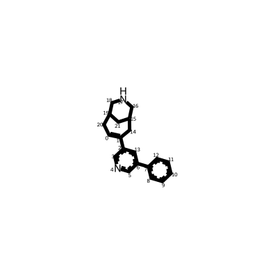 C1=C(c2cncc(-c3ccccc3)c2)CC2CNCC(C1)C2